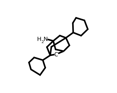 NC12CC3CC(C4CCCCC4)(C1)CC(C1CCCCC1)(C3)C2